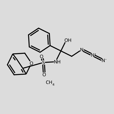 C.[N-]=[N+]=NCC(O)(NS(=O)(=O)c1cc2ccc1OC2)c1ccccc1